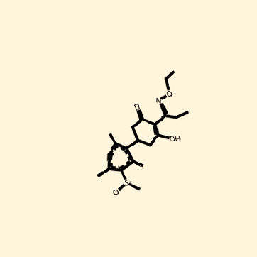 CCON=C(CC)C1=C(O)CC(c2c(C)cc(C)c([S+](C)[O-])c2C)CC1=O